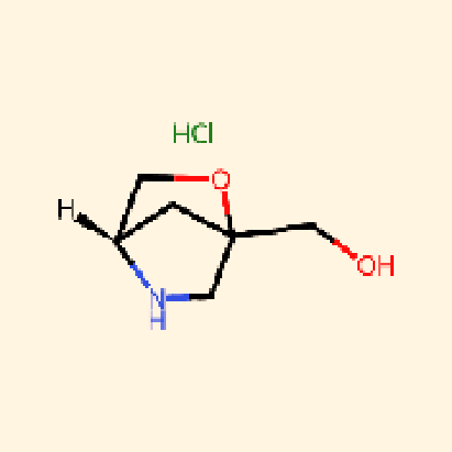 Cl.OCC12CN[C@H](CO1)C2